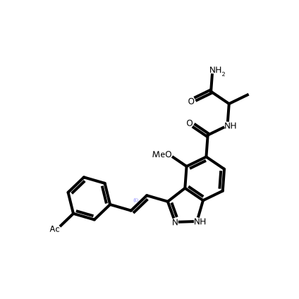 COc1c(C(=O)NC(C)C(N)=O)ccc2[nH]nc(/C=C/c3cccc(C(C)=O)c3)c12